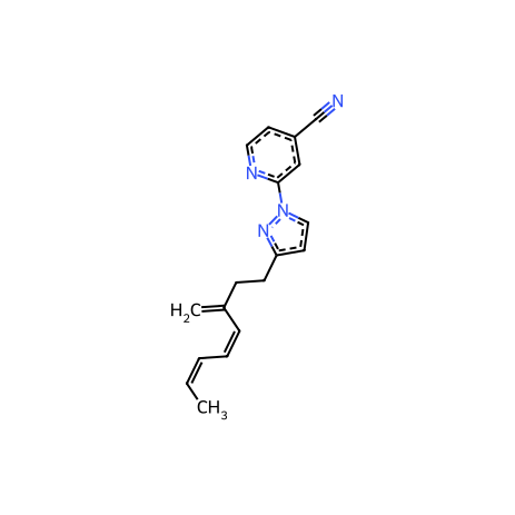 C=C(/C=C\C=C/C)CCc1ccn(-c2cc(C#N)ccn2)n1